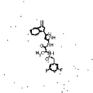 CC(NC(=O)Cc1cc(F)cc(F)c1)C(=O)Nc1cc(-c2c[nH]c3ccccc23)n[nH]1